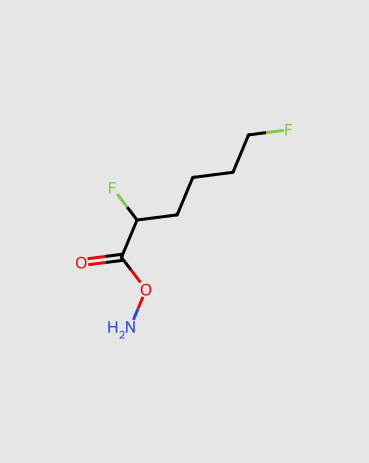 NOC(=O)C(F)CCCCF